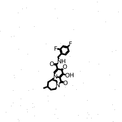 CC1CCN2CC(C1)n1cc(C(=O)NCc3ccc(F)cc3F)c(=O)c(O)c1C2=O